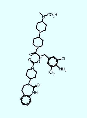 CN(C(=O)O)C1CCN(C2CCN(C(=O)[C@@H](Cc3cc(Cl)c(N)c(C(F)(F)F)c3)OC(=O)N3CCC(N4CCc5ccccc5NC4=O)CC3)CC2)CC1